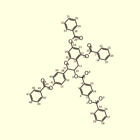 O=C(Oc1ccc(C(=O)OC2Cc3c(OC(=O)c4ccccc4)cc(OC(=O)c4ccccc4)cc3OC2c2ccc(OC(=O)c3ccccc3)cc2)cc1)c1ccccc1